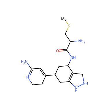 CCSCC(N)C(=O)NC1CC(C2=CC(N)=NCC2)CC2=C1CNN2